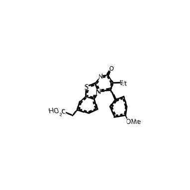 CCc1c(-c2ccc(OC)cc2)n2c(nc1=O)sc1cc(CC(=O)O)ccc12